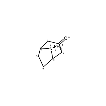 O=C1CC2CCC(C1)N2P